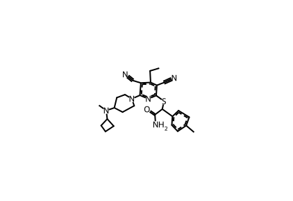 CCc1c(C#N)c(SC(C(N)=O)c2ccc(C)cc2)nc(N2CCC(N(C)C3CCC3)CC2)c1C#N